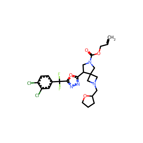 C=CCOC(=O)N1CC(c2nnc(C(F)(F)c3ccc(Cl)c(Cl)c3)o2)C2(CN(CC3CCCO3)C2)C1